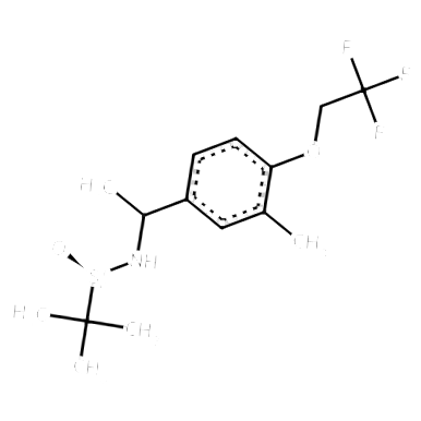 Cc1cc(C(C)N[S@+]([O-])C(C)(C)C)ccc1OCC(F)(F)F